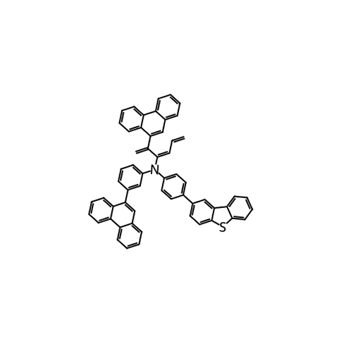 C=C/C=C(\C(=C)c1cc2ccccc2c2ccccc12)N(c1ccc(-c2ccc3sc4ccccc4c3c2)cc1)c1cccc(-c2cc3ccccc3c3ccccc23)c1